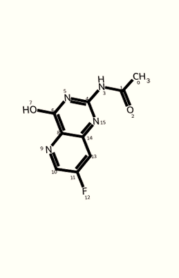 CC(=O)Nc1nc(O)c2ncc(F)cc2n1